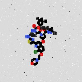 CC[C@H]1C[C@]1(NC(=O)[C@@H]1C[C@@H](Oc2cc(-c3csc(NC(C)C)n3)nc3c(Cl)c(OCCN4CCOCC4)ccc23)CN1C(=O)[C@@H](NC(=O)O[C@@H]1C[C@@H]2C[C@@H]2C1)C(C)(C)C)C(=O)O